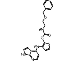 O=C(NCCOCc1ccccc1)Oc1sccc1Nc1ccnc2[nH]ccc12